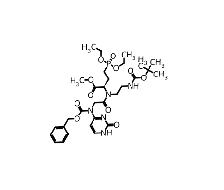 CCOP(=O)(CC[C@H](C(=O)OC)N(CCNC(=O)OC(C)(C)C)C(=O)CN(C(=O)OCc1ccccc1)c1cc[nH]c(=O)n1)OCC